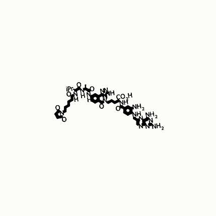 CC(C)[C@H](NC(=O)CCCCCN1C(=O)C=CC1=O)C(=O)N[C@@H](C)C(=O)Nc1ccc(C(=O)NCCC[C@H](NC(=O)c2ccc(NCc3cnc4nc(N)nc(N)c4n3)c(N)c2)C(=O)O)c(-c2nn[nH]n2)c1